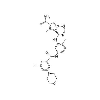 Cc1ccc(NC(=O)c2cc(F)cc(N3CCOCC3)c2)cc1Nc1ncnn2cc(C(N)=O)c(C)c12